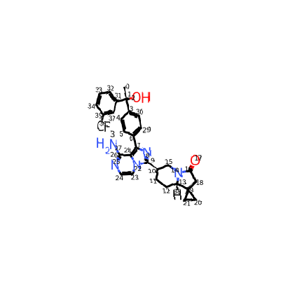 C[C@@](O)(c1ccc(-c2nc([C@@H]3CC[C@@H]4N(C3)C(=O)CC43CC3)n3ccnc(N)c23)cc1)c1cccc(C(F)(F)F)c1